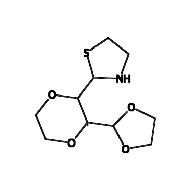 C1CSC(C2OCCO[C]2C2OCCO2)N1